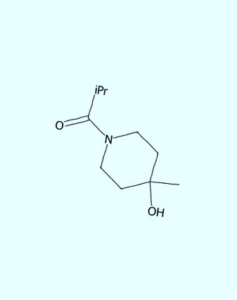 CC(C)C(=O)N1CCC(C)(O)CC1